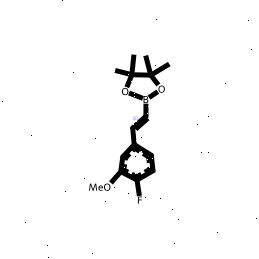 COc1cc(/C=C/B2OC(C)(C)C(C)(C)O2)ccc1F